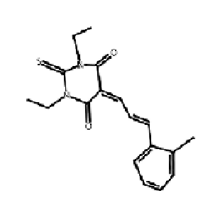 CCN1C(=O)C(=C/C=C/c2ccccc2C)C(=O)N(CC)C1=S